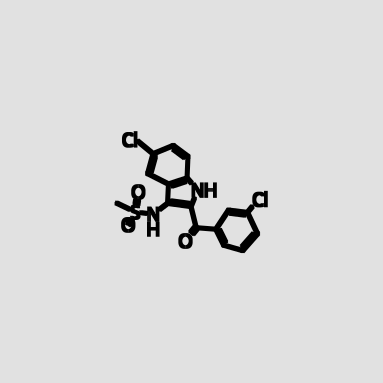 CS(=O)(=O)Nc1c(C(=O)c2cccc(Cl)c2)[nH]c2ccc(Cl)cc12